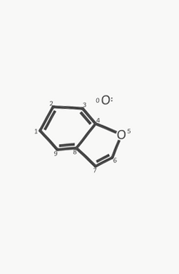 [O].c1ccc2occc2c1